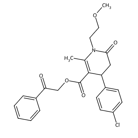 COCCN1C(=O)CC(c2ccc(Cl)cc2)C(C(=O)OCC(=O)c2ccccc2)=C1C